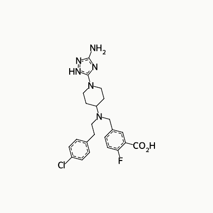 Nc1n[nH]c(N2CCC(N(CCc3ccc(Cl)cc3)Cc3ccc(F)c(C(=O)O)c3)CC2)n1